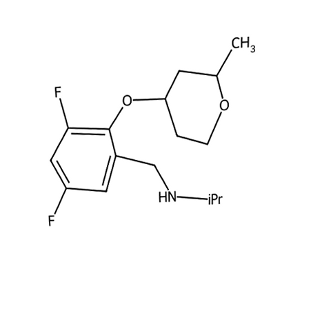 CC(C)NCc1cc(F)cc(F)c1OC1CCOC(C)C1